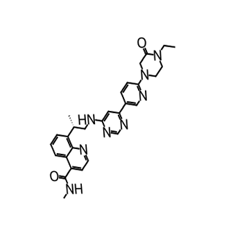 CCN1CCN(c2ccc(-c3cc(NC[C@@H](C)c4cccc5c(C(=O)NC)ccnc45)ncn3)cn2)CC1=O